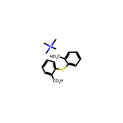 C[N+](C)(C)C.O=C(O)c1ccccc1Sc1ccccc1C(=O)O